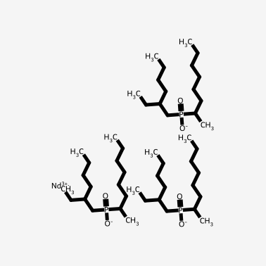 CCCCCCC(C)P(=O)([O-])CC(CC)CCCC.CCCCCCC(C)P(=O)([O-])CC(CC)CCCC.CCCCCCC(C)P(=O)([O-])CC(CC)CCCC.[Nd+3]